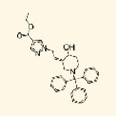 CCOC(=O)c1cnn(C/C=C2/CN(C(c3ccccc3)(c3ccccc3)c3ccccc3)CCC2O)c1